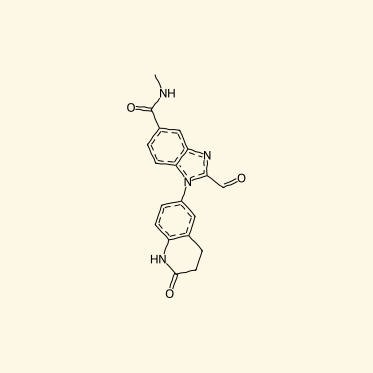 CNC(=O)c1ccc2c(c1)nc(C=O)n2-c1ccc2c(c1)CCC(=O)N2